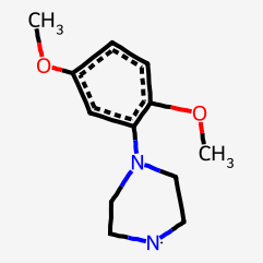 COc1ccc(OC)c(N2CC[N]CC2)c1